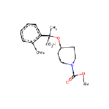 COc1ccccc1C(C)(OC1CCN(C(=O)OC(C)(C)C)CC1)C(=O)O